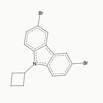 Brc1ccc2c(c1)c1cc(Br)ccc1n2C1CCC1